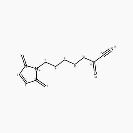 C=c1ccc(=C)n1CCCCCC(=O)C#N